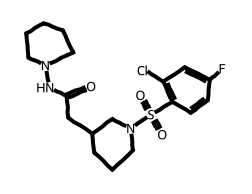 O=C(CC1CCCN(S(=O)(=O)c2ccc(F)cc2Cl)C1)NN1CCCCC1